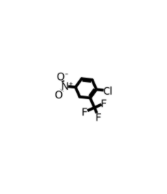 O=[N+]([O-])C1C=CC(Cl)=C(C(F)(F)F)C1